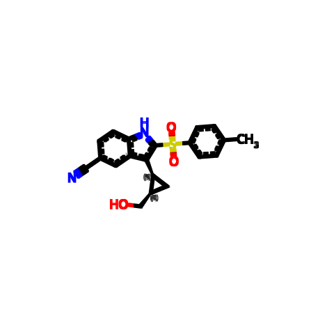 Cc1ccc(S(=O)(=O)c2[nH]c3ccc(C#N)cc3c2[C@H]2C[C@H]2CO)cc1